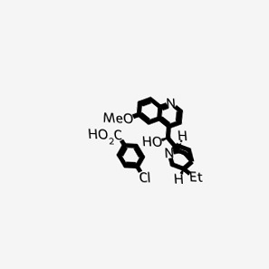 CC[C@@H]1CN2CCC1C[C@@H]2[C@@H](O)c1ccnc2ccc(OC)cc12.O=C(O)c1ccc(Cl)cc1